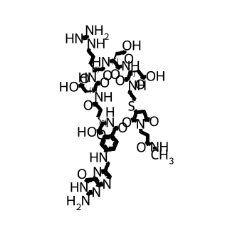 CNC(=O)CCN1C(=O)CC(SCCNC(=O)[C@H](CC(=O)O)NC(=O)[C@H](CC(=O)O)NC(=O)[C@H](CCCNC(=N)N)NC(=O)[C@H](CC(=O)O)NC(=O)CC[C@H](NC(=O)c2ccc(NCc3cnc4nc(N)[nH]c(=O)c4n3)cc2)C(=O)O)C1=O